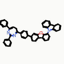 C1=C(c2ccccc2)N=C(c2ccccc2)N=C(c2ccc(-c3ccc4c(c3)oc3c(-n5c6ccccc6c6ccccc65)cccc34)cc2)C1